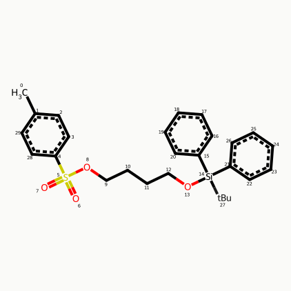 Cc1ccc(S(=O)(=O)OCCCCO[Si](c2ccccc2)(c2ccccc2)C(C)(C)C)cc1